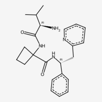 CC(C)[C@@H](N)C(=O)NC1(C(=O)N[C@H](Cc2ccccn2)c2ccccc2)CCC1